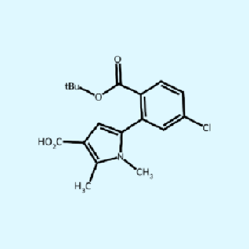 Cc1c(C(=O)O)cc(-c2cc(Cl)ccc2C(=O)OC(C)(C)C)n1C